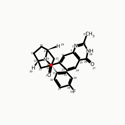 Cc1nc2cc(C(=O)N3[C@@H]4CC[C@H]3C[C@@H](c3ccc(F)cc3)C4)ccc2c(=O)[nH]1